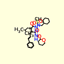 CC(C)C[C@@H](C(=O)NN(CC1CCCCC1)S(C)(=O)=O)[C@H](CC=Cc1ccccc1)C(=O)NOC1CCCCO1